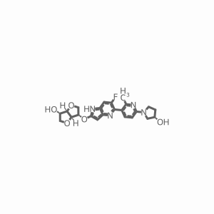 Cc1nc(N2CC[C@@H](O)C2)ccc1-c1nc2cc(O[C@@H]3CO[C@H]4[C@@H]3OC[C@H]4O)[nH]c2cc1F